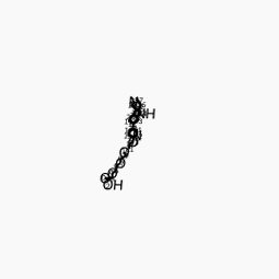 O=C(O)COCCOCCOCCOc1ccc(-c2ccc3c(c2)[nH]c2ccncc23)cn1